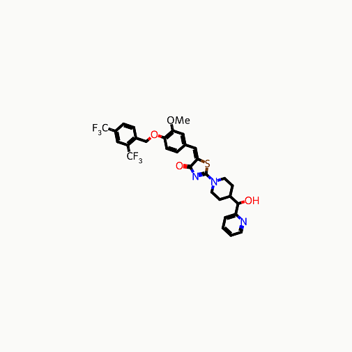 COc1cc(/C=C2/SC(N3CCC(C(O)c4ccccn4)CC3)=NC2=O)ccc1OCc1ccc(C(F)(F)F)cc1C(F)(F)F